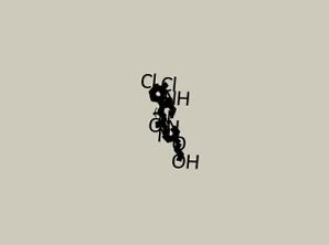 C[C@H]1c2c([nH]c3c(Cl)c(Cl)ccc23)CCN1C(=O)c1ncc(OCCO)cn1